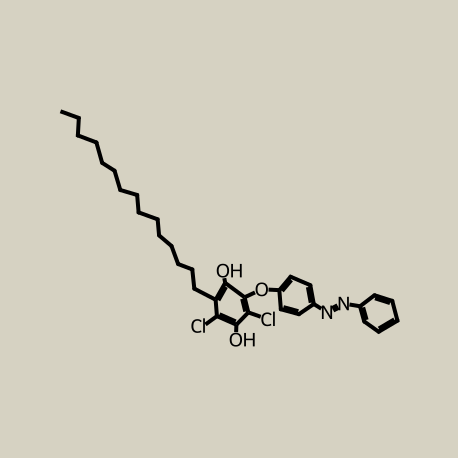 CCCCCCCCCCCCCCCc1c(O)c(Oc2ccc(/N=N/c3ccccc3)cc2)c(Cl)c(O)c1Cl